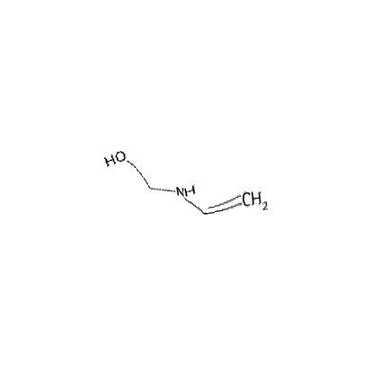 C=CNCO